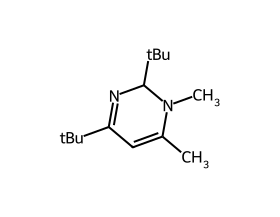 CC1=CC(C(C)(C)C)=NC(C(C)(C)C)N1C